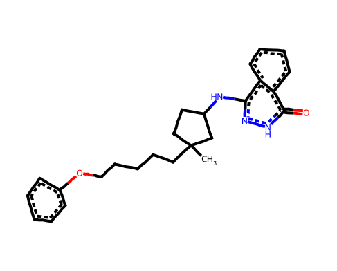 CC1(CCCCCOc2ccccc2)CCC(Nc2n[nH]c(=O)c3ccccc23)C1